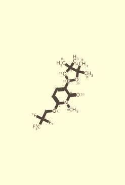 Cn1c(OCC(F)(F)C(F)(F)F)ccc(B2OC(C)(C)C(C)(C)O2)c1=O